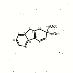 CCCCCCCCC1(CCCCCCCC)C=CC2=C(Cc3ccccc32)C1